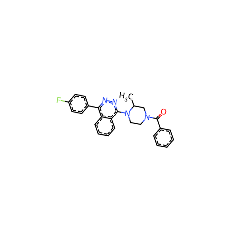 CC1CN(C(=O)c2ccccc2)CCN1c1nnc(-c2ccc(F)cc2)c2ccccc12